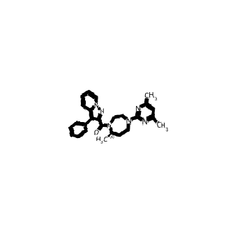 Cc1cc(C)nc(N2CC[C@@H](C)N(C(=O)c3nn4ccccc4c3-c3ccccc3)CC2)n1